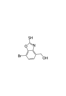 OCc1ccc(Br)c2oc(S)nc12